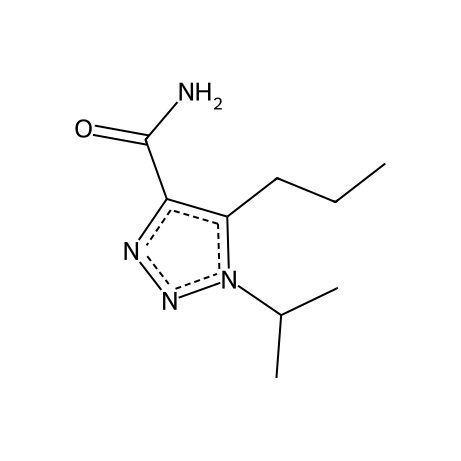 CCCc1c(C(N)=O)nnn1C(C)C